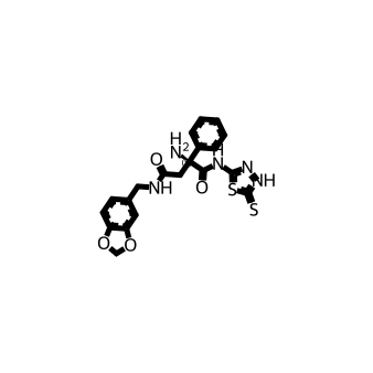 N[C@](CC(=O)NCc1ccc2c(c1)OCO2)(C(=O)Nc1n[nH]c(=S)s1)c1ccccc1